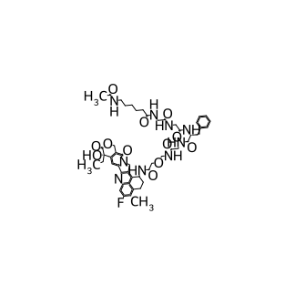 CC[C@@]1(O)C(=O)OCc2c1cc1n(c2=O)Cc2c-1nc1cc(F)c(C)c3c1c2[C@@H](NC(=O)COCNC(=O)CNC(=O)[C@H](Cc1ccccc1)NC(=O)CNC(=O)CNC(=O)CCCCCNC(C)=O)CC3